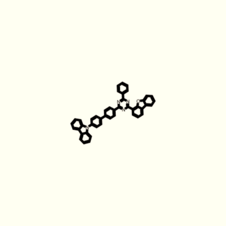 c1ccc(-c2nc(-c3ccc(-c4ccc(-n5c6ccccc6c6ccccc65)cc4)cc3)nc(-c3cccc4c3oc3ccccc34)n2)cc1